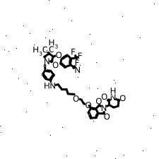 CC1(C)CN(Cc2ccc(NCCCCCOCCOc3cccc4c3C(=O)N(C3CCC(=O)NC3=O)C4=O)cc2)C(=O)C1Oc1ccc(C#N)c(C(F)(F)F)c1